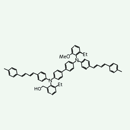 CCc1cccc(CO)c1N(c1ccc(/C=C/C=C/c2ccc(C)cc2)cc1)c1ccc(-c2ccc(N(c3ccc(/C=C/C=C/c4ccc(C)cc4)cc3)c3c(CC)cccc3OC)cc2)cc1